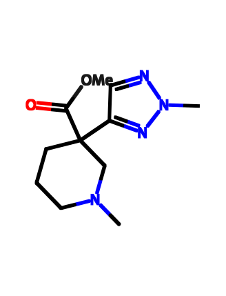 COC(=O)C1(c2cnn(C)n2)CCCN(C)C1